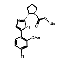 COc1cc(Cl)ccc1-c1cnc([C@@H]2CCCN2C(=O)OC(C)(C)C)[nH]1